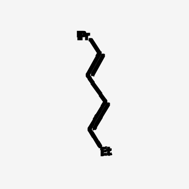 CC/C=C/C=C/C(C)C